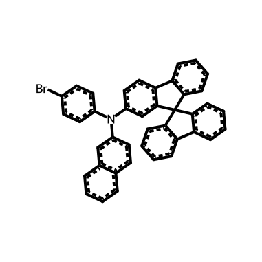 Brc1ccc(N(c2ccc3c(c2)C2(c4ccccc4-c4ccccc42)c2ccccc2-3)c2ccc3ccccc3c2)cc1